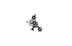 NC(=O)c1c(Nc2ccc(I)cc2)c(F)c(F)c(S(=O)(=O)NCc2ccccn2)c1OCC1CC1